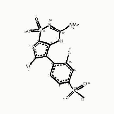 CCc1sc2c(c1-c1ccc(S(C)(=O)=O)cc1Cl)NC(NC)=NS2(=O)=O